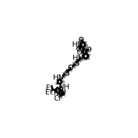 CCC(CC)c1cc(N[C@H]2CC[C@H](NCCOCCOCCOCCNc3cccc4c3C(=O)N(C3CCC(=O)NC3=O)C4=O)C2)n2ncc(Cl)c2n1